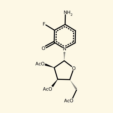 CC(=O)OC[C@H]1O[C@@H](n2ccc(N)c(F)c2=O)[C@H](OC(C)=O)[C@@H]1OC(C)=O